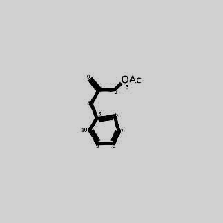 C=C(COC(C)=O)Cc1ccccc1